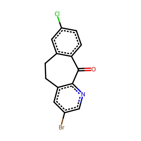 O=C1c2ccc(Cl)cc2CCc2cc(Br)cnc21